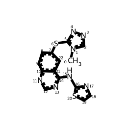 Cn1cnnc1Sc1ccc2ncnc(Nc3nccs3)c2c1